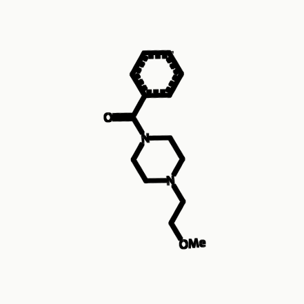 COCCN1CCN(C(=O)c2cc[c]cc2)CC1